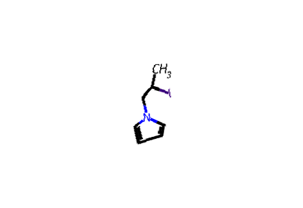 CC(I)Cn1cccc1